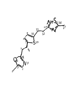 Cc1cnc(CCc2ccc(CCc3nsc(C)n3)s2)o1